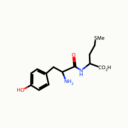 CSCCC(NC(=O)C(N)Cc1ccc(O)cc1)C(=O)O